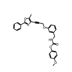 COc1ccc(OC(=O)NCc2cccc(OCC#Cc3nc(-c4ccccc4)oc3C)c2)cc1